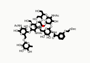 CCCCCCCCCCCOc1cccc(C(=O)N[C@@H]2C(O[C@H]3C(O)C(NC(C)=O)[C@H](OC(CO)C(CO)O[C@@H](O[C@H]4C(O)C(NC(C)=O)C(OC5C(CO[C@@H]6OC(C)C(O)[C@H](O)[C@H]6O)OC(O)[C@@H](NC(C)=O)[C@H]5O)O[C@H]4CO)[C@H](C)NC(C)=O)O[C@H]3CO)OC(CO)[C@@H](O)[C@@H]2O)c1